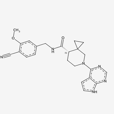 COc1cc(CNC(=O)[C@H]2CCN(c3ncnc4[nH]ccc34)CC23CC3)ccc1C#N